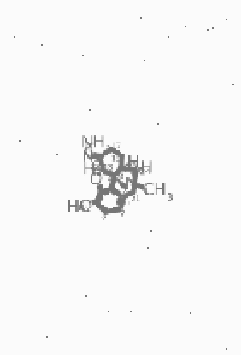 CN1CC[C@]23c4c5ccc(O)c4O[C@H]2C(=NN)CC[C@H]3[C@H]1C5